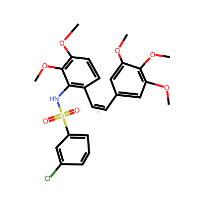 COc1cc(/C=C\c2ccc(OC)c(OC)c2NS(=O)(=O)c2cccc(Cl)c2)cc(OC)c1OC